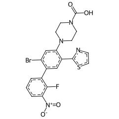 O=C(O)N1CCN(c2cc(Br)c(-c3cccc([N+](=O)[O-])c3F)cc2-c2nccs2)CC1